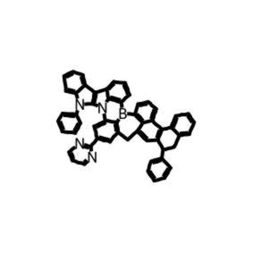 c1ccc(C2Cc3ccccc3-c3c2cc2c4c(cccc34)B3c4c(cc(-c5ncccn5)cc4-n4c5c3cccc5c3c5ccccc5n(-c5ccccc5)c34)C2)cc1